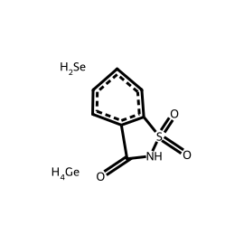 O=C1NS(=O)(=O)c2ccccc21.[GeH4].[SeH2]